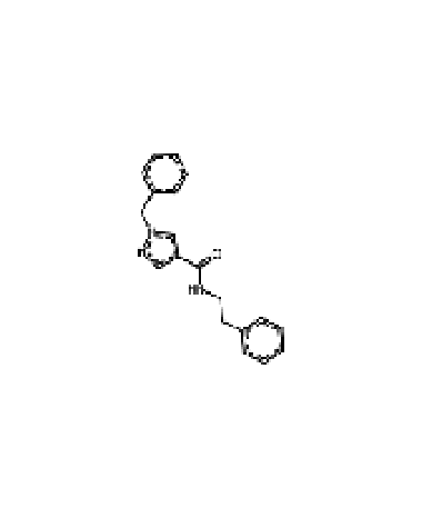 O=C(NCCc1ccccc1)c1cnn(Cc2ccccc2)c1